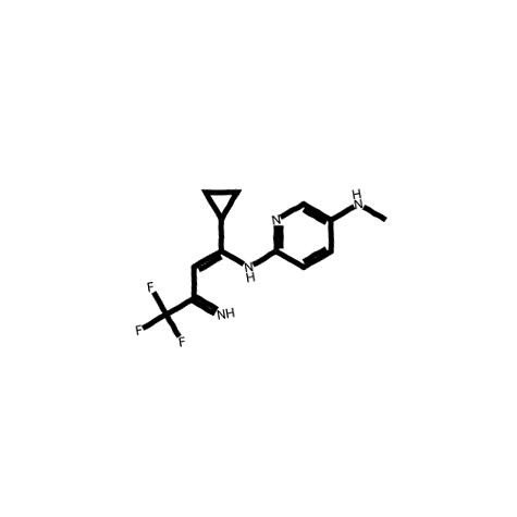 CNc1ccc(N/C(=C\C(=N)C(F)(F)F)C2CC2)nc1